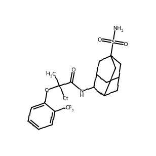 CCC(C)(Oc1ccccc1C(F)(F)F)C(=O)NC1C2CC3CC1CC(S(N)(=O)=O)(C3)C2